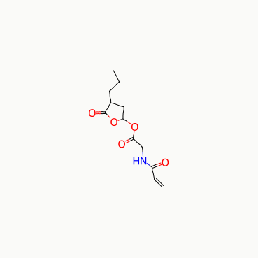 C=CC(=O)NCC(=O)OC1CC(CCC)C(=O)O1